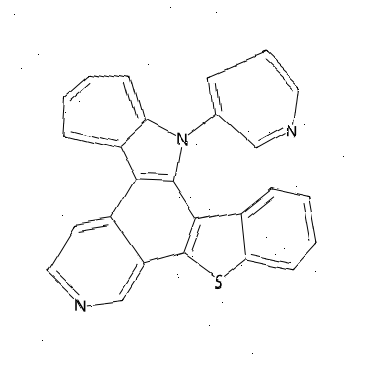 c1cncc(-n2c3ccccc3c3c4ccncc4c4sc5ccccc5c4c32)c1